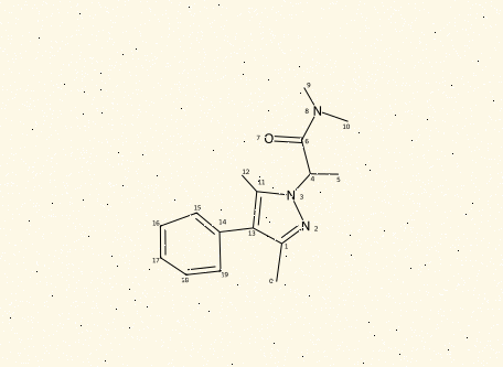 Cc1nn(C(C)C(=O)N(C)C)c(C)c1-c1ccccc1